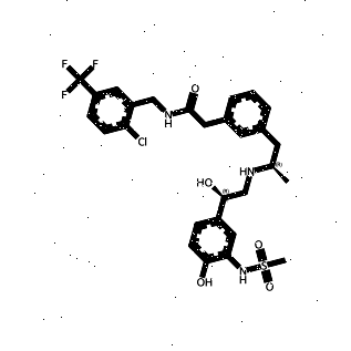 C[C@H](Cc1cccc(CC(=O)NCc2cc(C(F)(F)F)ccc2Cl)c1)NC[C@H](O)c1ccc(O)c(NS(C)(=O)=O)c1